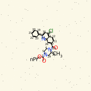 CCCOC(=O)N1CCN(C(=O)c2ccc3c(Cl)cc(-c4ccccc4)nc3c2)[C@@H](C)C1